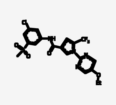 CCOc1cnc(-n2cc(C(=O)Nc3cc(Cl)cc(S(C)(=O)=O)c3)cc2C(F)(F)F)nc1